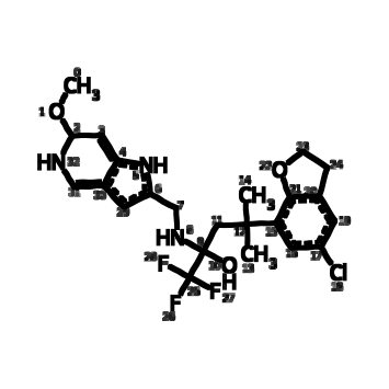 COC1C=c2[nH]c(CNC(O)(CC(C)(C)c3cc(Cl)cc4c3OCC4)C(F)(F)F)cc2=CN1